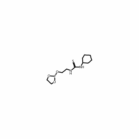 S=C(NCCOP1OCCO1)NC1CCCCC1